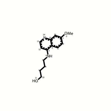 COc1ccc2c(NCCCCO)ccnc2c1